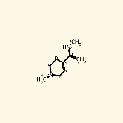 C=C(NC)C1=CCN(C)CC1